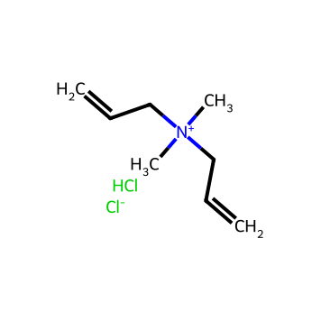 C=CC[N+](C)(C)CC=C.Cl.[Cl-]